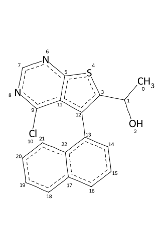 CC(O)c1sc2ncnc(Cl)c2c1-c1cccc2ccccc12